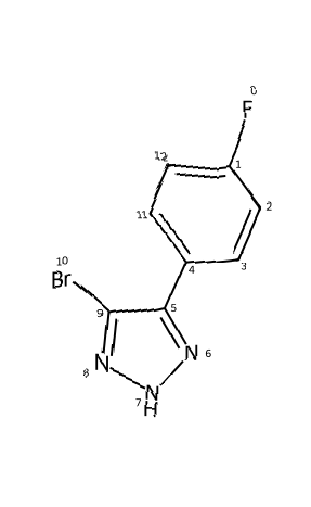 Fc1ccc(-c2n[nH]nc2Br)cc1